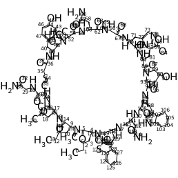 CCCC[C@H]1C(=O)N(C)[C@@H](CCCC)C(=O)N[C@@H](CC(C)C)C(=O)N[C@H](C(=O)NCC(N)=O)CSCC(=O)N[C@@H](Cc2ccc(O)cc2)C(=O)N(C)[C@@H](C)C(=O)N[C@@H](CC(N)=O)C(=O)N(C)CC(=O)N[C@@H](Cc2cnc[nH]2)C(=O)N[C@@H](CCC(=O)O)C(=O)N2C[C@H](O)C[C@H]2C(=O)N[C@@H](Cc2c[nH]c3ccccc23)C(=O)N[C@@H](CCN)C(=O)N[C@@H](Cc2csc3ccccc23)C(=O)N1C